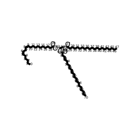 CCCCC/C=C\C/C=C\CCCCCCCCCC(=O)OC[C@H](COC(=O)CCCCCCCCCCCCCCCCCCCC)OC(=O)CCCCCCCCCCCCCCCCCCCC